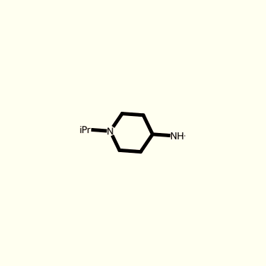 CC(C)N1CCC([NH])CC1